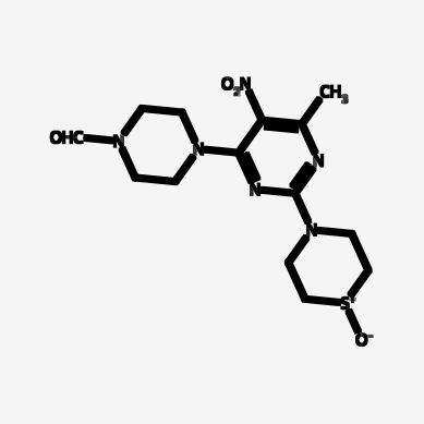 Cc1nc(N2CC[S+]([O-])CC2)nc(N2CCN(C=O)CC2)c1[N+](=O)[O-]